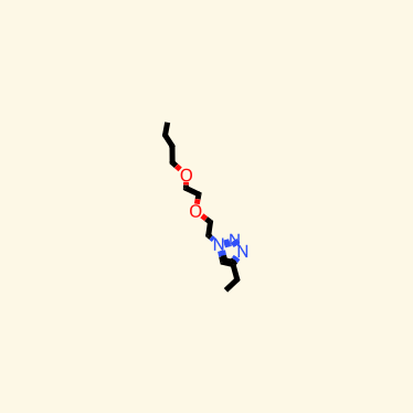 CCCCOCCOCCn1cc(CC)nn1